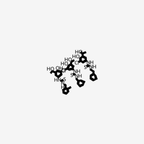 CC(O)c1cc(NC(=S)NCCc2ccccc2)cc(Cl)c1O.CC(O)c1cc(NC(=S)NCc2ccccc2)cc(Cl)c1O.Cc1ccccc1CNC(=S)Nc1cc(Cl)c(O)c(C(C)O)c1